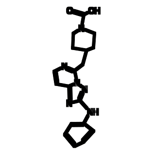 O=C(O)N1CCC(Cc2nccc3nc(Nc4ccccc4)nn23)CC1